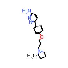 C[C@@H]1CCCN1CCCOc1ccc(-c2ccc(N)nn2)cc1